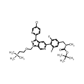 CN(Cc1cc(F)c(-c2cc3c(-c4ccc(Cl)cn4)nn(COCC[Si](C)(C)C)c3cn2)c(F)c1)C(=O)OC(C)(C)C